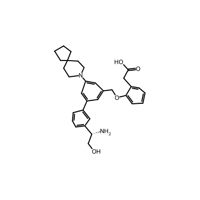 N[C@H](CO)c1cccc(-c2cc(COc3ccccc3CC(=O)O)cc(N3CCC4(CCCC4)CC3)c2)c1